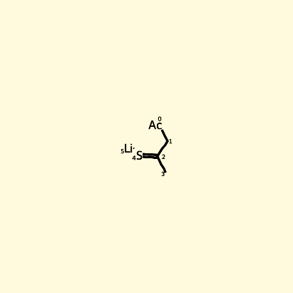 CC(=O)CC(C)=S.[Li]